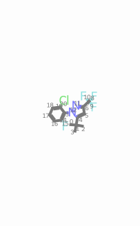 CC(C)(C)c1cc(C(F)(F)F)nn1-c1c(F)cccc1Cl